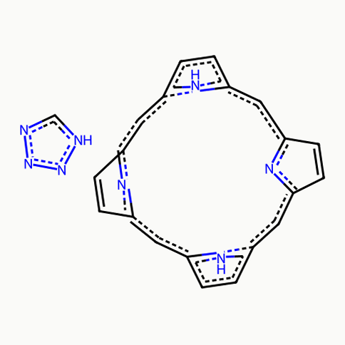 C1=Cc2cc3ccc(cc4nc(cc5ccc(cc1n2)[nH]5)C=C4)[nH]3.c1nnn[nH]1